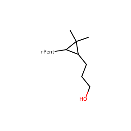 CCCCCC1C(CCCO)C1(C)C